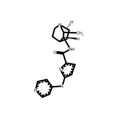 C[C@H]1[C@H](NC(=O)c2ccc(Sc3ccncc3)s2)C2CCN1CC2